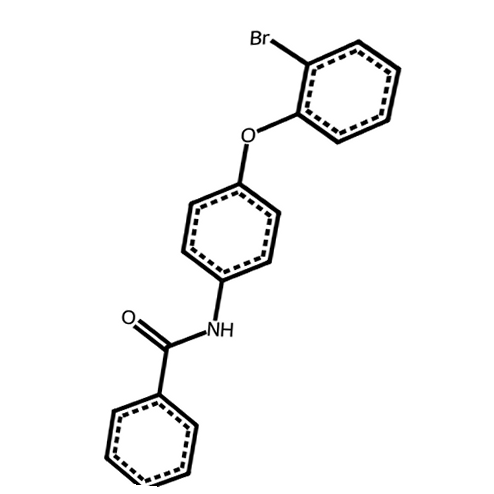 O=C(Nc1ccc(Oc2ccccc2Br)cc1)c1ccccc1